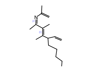 C=CC(CCCCC)/C(C)=C(C)/C(C)=N\C(=C)C